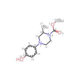 CC(C)(C)OC(=O)N1CCN(c2ccc(O)cc2)CC1C(C)(C)C